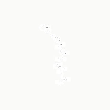 N=C(N)CCNC(=O)c1cc(NC(=O)c2cc(NC(=O)c3ccc(/C=C/c4cnc5ccccc5c4)cc3)c[nH]2)c[nH]1